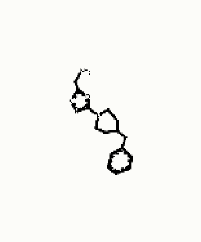 NCc1nnc(N2CCC(Cc3ccccc3)CC2)o1